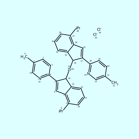 Cc1ccc(C2=Cc3c(C(C)C)cccc3[CH]2[Zr+2][CH]2C(c3ccc(C)cn3)=Cc3c(C(C)C)cccc32)nc1.[Cl-].[Cl-]